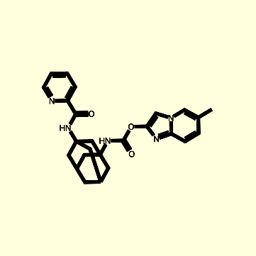 Cc1ccc2nc(OC(=O)NC34CC5CC(C3)CC(NC(=O)c3ccccn3)(C5)C4)cn2c1